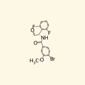 COc1cc(C(=O)N[C@H](C=O)c2c(F)cccc2F)ccc1Br